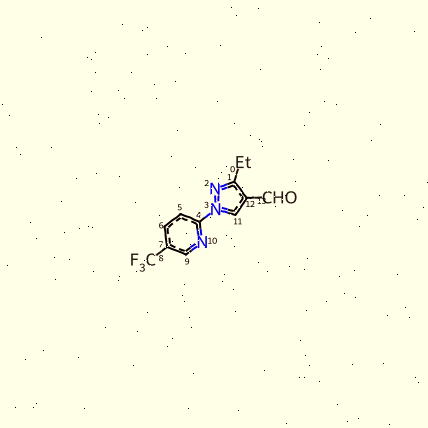 CCc1nn(-c2ccc(C(F)(F)F)cn2)cc1C=O